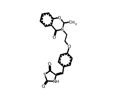 CC1Oc2ccccc2C(=O)N1CCOc1ccc(C=C2NC(=O)SC2=O)cc1